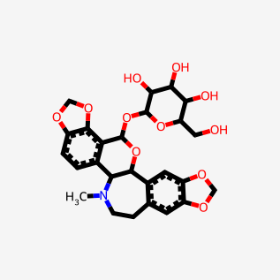 CN1CCc2cc3c(cc2C2OC(OC4OC(CO)C(O)C(O)C4O)c4c(ccc5c4OCO5)C21)OCO3